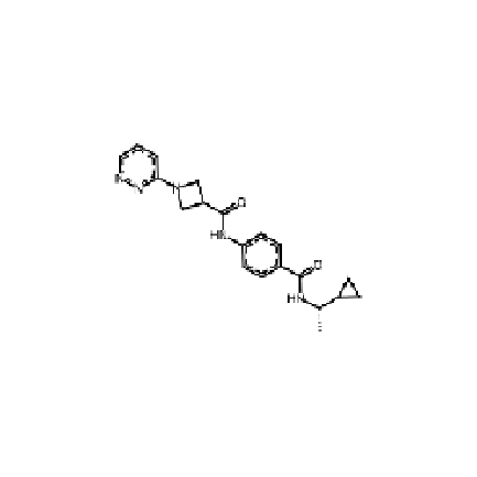 C[C@H](NC(=O)c1ccc(NC(=O)C2CN(c3cccnn3)C2)cc1)C1CC1